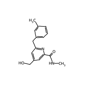 CNC(=O)c1cc(CO)cc(Cc2cccc(C)c2)n1